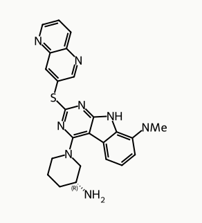 CNc1cccc2c1[nH]c1nc(Sc3cnc4cccnc4c3)nc(N3CCC[C@@H](N)C3)c12